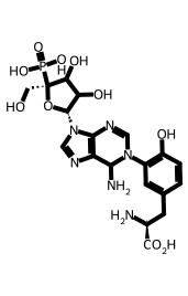 NC1c2ncn([C@@H]3O[C@@](CO)(P(=O)(O)O)C(O)C3O)c2N=CN1c1cc(C[C@H](N)C(=O)O)ccc1O